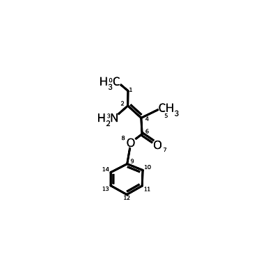 CCC(N)=C(C)C(=O)Oc1ccccc1